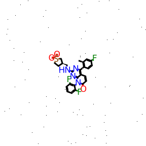 Cc1cc(F)ccc1-c1nc(NC[C@H]2CCS(=O)(=O)C2)nc2c1ccc(=O)n2-c1c(F)cccc1F